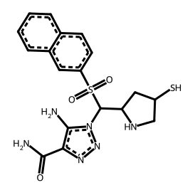 NC(=O)c1nnn(C(C2CC(S)CN2)S(=O)(=O)c2ccc3ccccc3c2)c1N